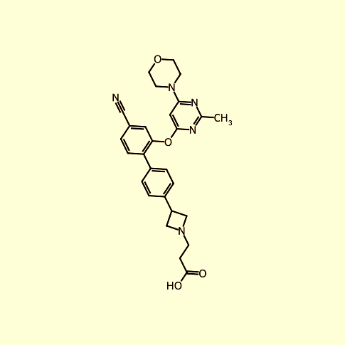 Cc1nc(Oc2cc(C#N)ccc2-c2ccc(C3CN(CCC(=O)O)C3)cc2)cc(N2CCOCC2)n1